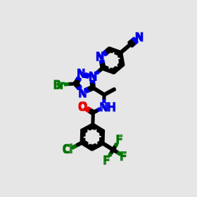 CC(NC(=O)c1cc(Cl)cc(C(F)(F)F)c1)c1nc(Br)nn1-c1ccc(C#N)cn1